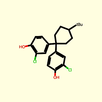 CC(C)(C)C1CCC(c2ccc(O)c(Cl)c2)(c2ccc(O)c(Cl)c2)CC1